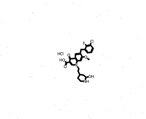 COc1cc2c(cc1Cc1cccc(Cl)c1F)c(=O)c(C(=O)O)cn2CCC1CCNC(O)C1.Cl